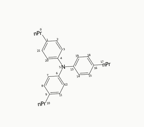 CCCc1ccc(N(c2ccc(CCC)cc2)c2ccc(CCC)cc2)cc1